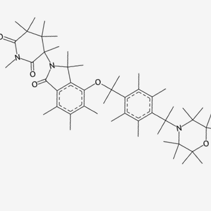 Cc1c(C)c(OC(C)(C)c2c(C)c(C)c(C(C)(C)N3C(C)(C)C(C)(C)OC(C)(C)C3(C)C)c(C)c2C)c2c(c1C)C(=O)N(C1(C)C(=O)N(C)C(=O)C(C)(C)C1(C)C)C2(C)C